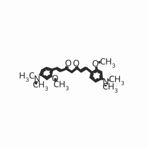 COc1cc(N(C)C)ccc1C=CC(=O)CC(=O)C=Cc1ccc(N(C)C)cc1OC